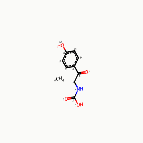 C.O=C(O)NCC(=O)c1ccc(O)cc1